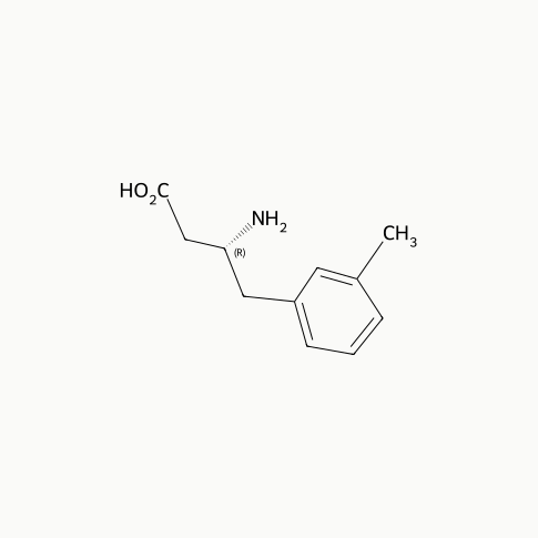 Cc1cccc(C[C@@H](N)CC(=O)O)c1